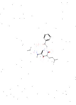 C/C(=N\OC(C)C)C1=CN(CC(O)c2cccc(F)c2)C(=O)C([C@H](C)CC(C)C)C1=O